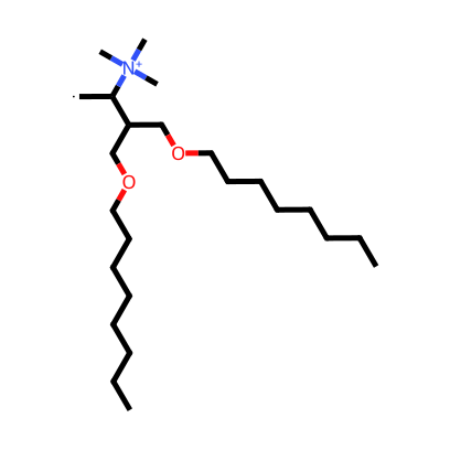 [CH2]C(C(COCCCCCCCC)COCCCCCCCC)[N+](C)(C)C